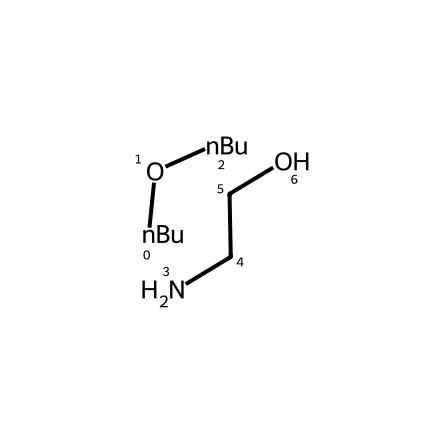 CCCCOCCCC.NCCO